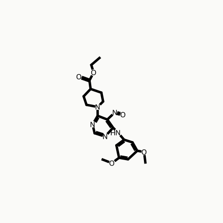 CCOC(=O)C1CCN(c2ncnc(Nc3cc(OC)cc(OC)c3)c2N=O)CC1